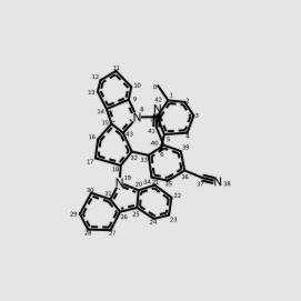 Cc1cccc(C)c1-n1c2ccccc2c2ccc(-n3c4ccccc4c4ccccc43)c(-c3ccc(C#N)cc3C#N)c21